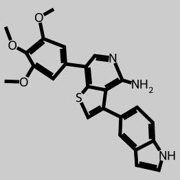 COc1cc(-c2cnc(N)c3c(-c4ccc5[nH]ccc5c4)csc23)cc(OC)c1OC